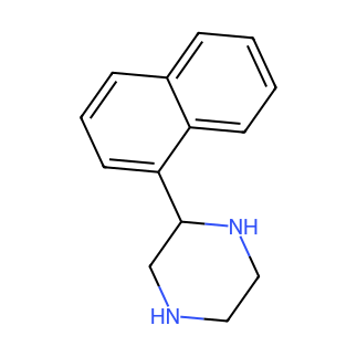 c1ccc2c(C3CNCCN3)cccc2c1